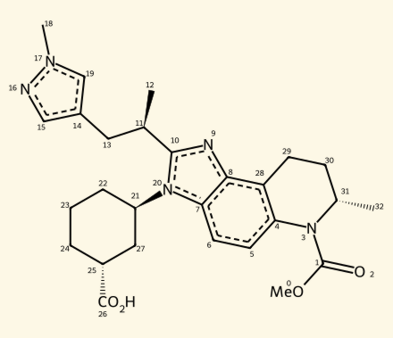 COC(=O)N1c2ccc3c(nc([C@H](C)Cc4cnn(C)c4)n3[C@@H]3CCC[C@@H](C(=O)O)C3)c2CC[C@@H]1C